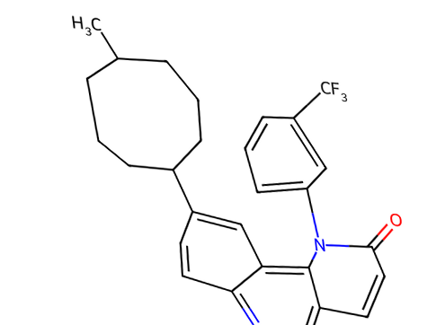 CC1CCCC(c2ccc3ncc4ccc(=O)n(-c5cccc(C(F)(F)F)c5)c4c3c2)CCC1